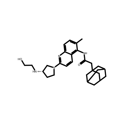 Cc1ccc2nc(N3CC[C@H](NCCO)C3)ccc2c1NC(=O)CC12CC3CC(CC(C3)C1)C2